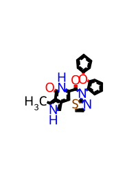 Cc1[nH]cc2cc(C(=O)N(c3nccs3)c3ccccc3Oc3ccccc3)[nH]c(=O)c12